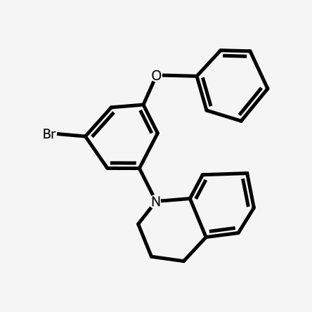 Brc1cc(Oc2ccccc2)cc(N2CCCc3ccccc32)c1